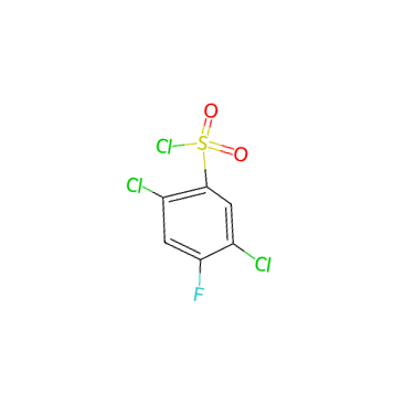 O=S(=O)(Cl)c1cc(Cl)c(F)cc1Cl